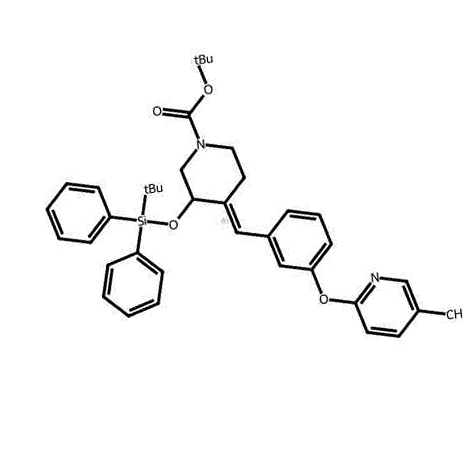 Cc1ccc(Oc2cccc(/C=C3\CCN(C(=O)OC(C)(C)C)CC3O[Si](c3ccccc3)(c3ccccc3)C(C)(C)C)c2)nc1